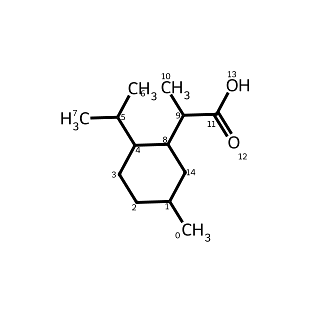 CC1CCC(C(C)C)C(C(C)C(=O)O)C1